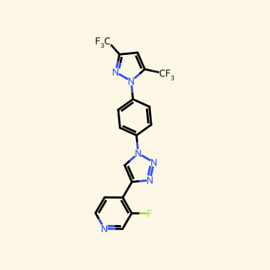 Fc1cnccc1-c1cn(-c2ccc(-n3nc(C(F)(F)F)cc3C(F)(F)F)cc2)nn1